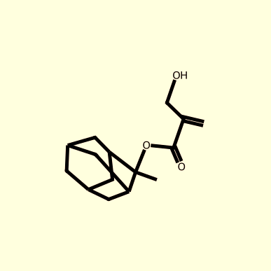 C=C(CO)C(=O)OC1(C)C2CC3CC(C2)CC1C3